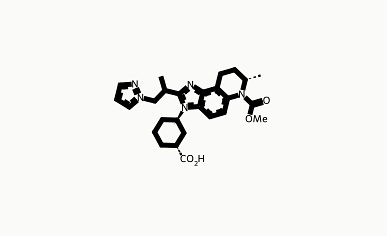 COC(=O)N1c2ccc3c(nc(C(C)Cn4cccn4)n3[C@@H]3CCC[C@@H](C(=O)O)C3)c2CC[C@@H]1C